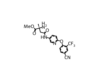 COC(=O)[C@](C)(N)CC(=O)Nc1ccc(Oc2ccc(C#N)cc2C(F)(F)F)nc1